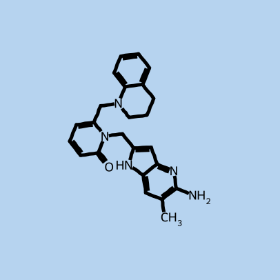 Cc1cc2[nH]c(Cn3c(CN4CCCc5ccccc54)cccc3=O)cc2nc1N